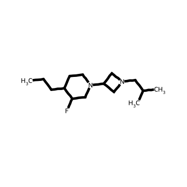 CCCC1CCN(C2CN(CC(C)C)C2)CC1F